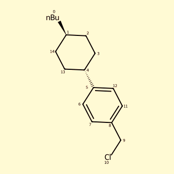 CCCC[C@H]1CC[C@H](c2ccc(CCl)cc2)CC1